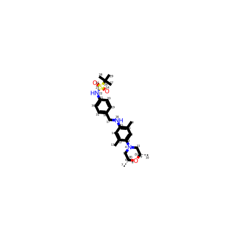 Cc1cc(N2C[C@@H](C)O[C@@H](C)C2)c(C)cc1NCc1ccc(NS(=O)(=O)C(C)(C)C)cc1